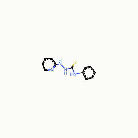 S=C(NNc1ccccn1)Nc1ccccc1